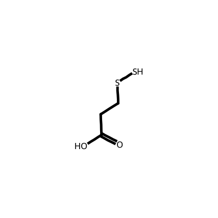 O=C(O)CCSS